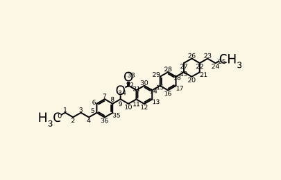 CCCCCc1ccc(C2Cc3ccc(-c4ccc(C5CCC(CCC)CC5)cc4)cc3C(=O)O2)cc1